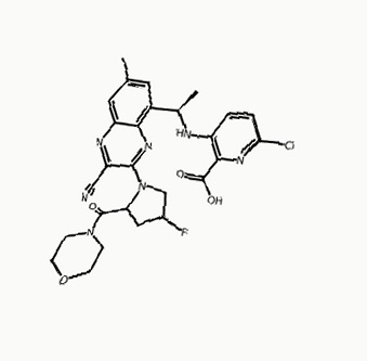 Cc1cc([C@@H](C)Nc2ccc(Cl)nc2C(=O)O)c2nc(N3CC(F)CC3C(=O)N3CCOCC3)c(C#N)nc2c1